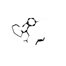 COc1ccc2c(c1)c(CC(C)N)c1n2CCCC1.O=C(O)/C=C/C(=O)O